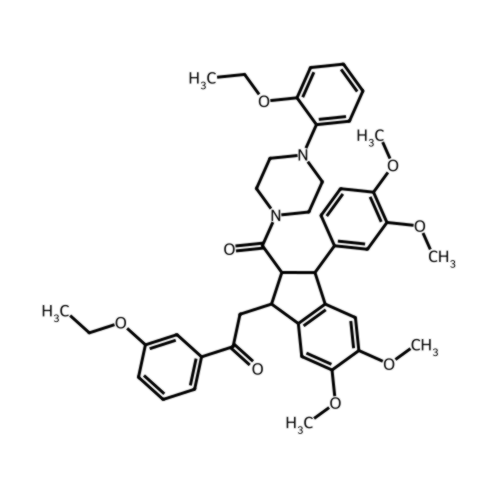 CCOc1cccc(C(=O)CC2c3cc(OC)c(OC)cc3C(c3ccc(OC)c(OC)c3)C2C(=O)N2CCN(c3ccccc3OCC)CC2)c1